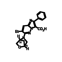 CCc1cc2nc(-c3ccccc3)c(C(=O)O)n2nc1N1C[C@H]2C[C@@H]1CO2